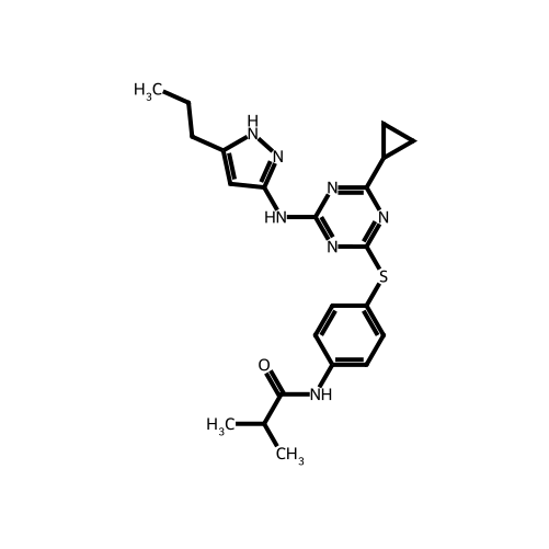 CCCc1cc(Nc2nc(Sc3ccc(NC(=O)C(C)C)cc3)nc(C3CC3)n2)n[nH]1